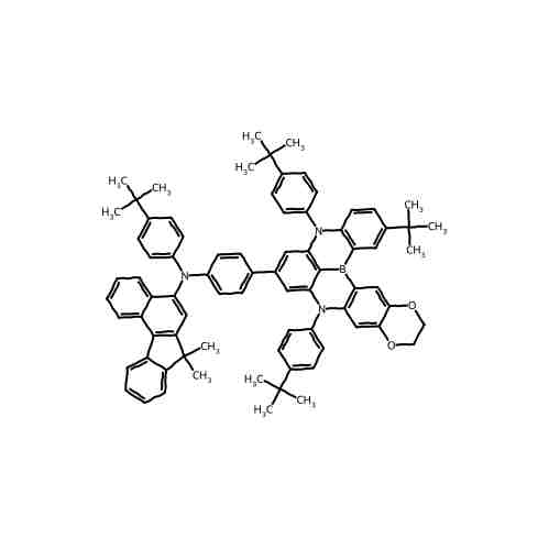 CC(C)(C)c1ccc(N2c3ccc(C(C)(C)C)cc3B3c4cc5c(cc4N(c4ccc(C(C)(C)C)cc4)c4cc(-c6ccc(N(c7ccc(C(C)(C)C)cc7)c7cc8c(c9ccccc79)-c7ccccc7C8(C)C)cc6)cc2c43)OCCO5)cc1